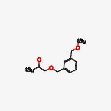 CC(C)(C)OCc1cccc(COCC(=O)C(C)(C)C)c1